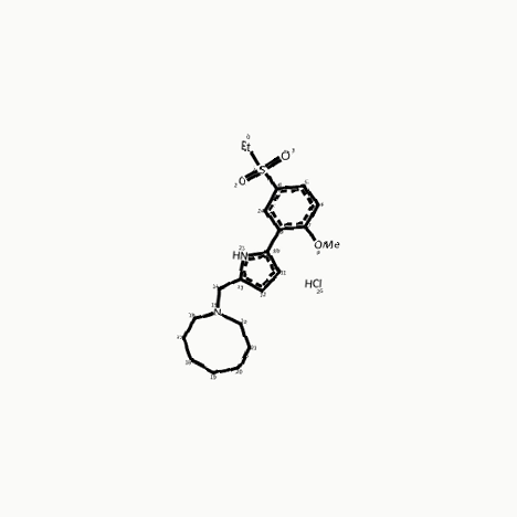 CCS(=O)(=O)c1ccc(OC)c(-c2ccc(CN3CCCCCCC3)[nH]2)c1.Cl